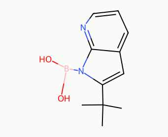 CC(C)(C)c1cc2cccnc2n1B(O)O